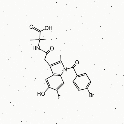 Cc1c(CC(=O)NC(C)(C)C(=O)O)c2cc(O)c(F)cc2n1C(=O)c1ccc(Br)cc1